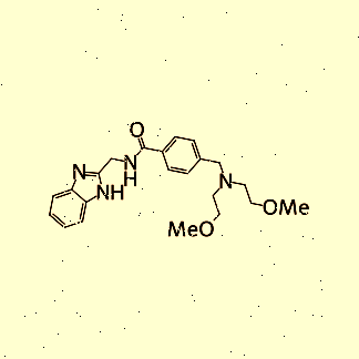 COCCN(CCOC)Cc1ccc(C(=O)NCc2nc3ccccc3[nH]2)cc1